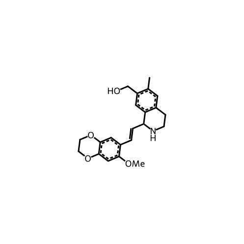 COc1cc2c(cc1/C=C/C1NCCc3cc(C)c(CO)cc31)OCCO2